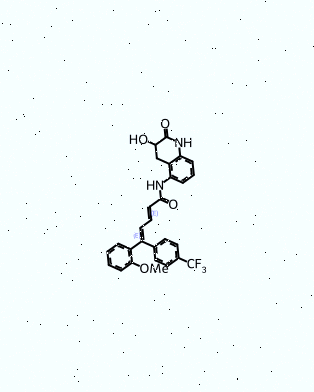 COc1ccccc1/C(=C/C=C/C(=O)Nc1cccc2c1CC(O)C(=O)N2)c1ccc(C(F)(F)F)cc1